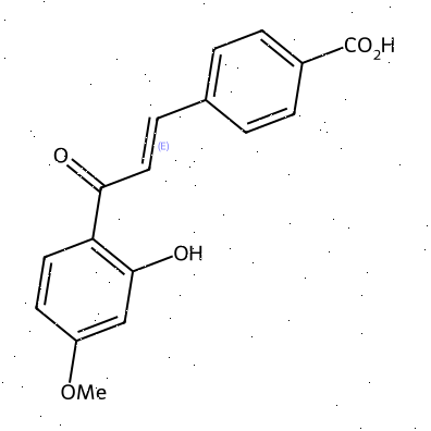 COc1ccc(C(=O)/C=C/c2ccc(C(=O)O)cc2)c(O)c1